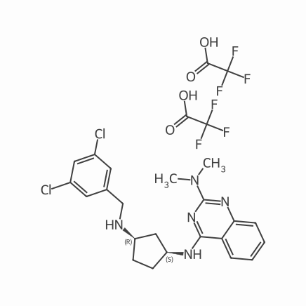 CN(C)c1nc(N[C@H]2CC[C@@H](NCc3cc(Cl)cc(Cl)c3)C2)c2ccccc2n1.O=C(O)C(F)(F)F.O=C(O)C(F)(F)F